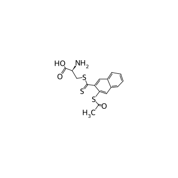 CC(=O)Sc1cc2ccccc2cc1C(=S)SC[C@H](N)C(=O)O